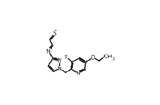 CCOc1cnc(Cn2ccc(N=CC=S)n2)c(F)c1